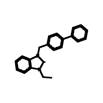 CCN1[CH]N(Cc2ccc(-c3ccccc3)cc2)c2ccccc21